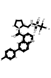 Cc1ccc(-c2ccc3nccc(C(=O)N4CCCC4CNS(=O)(=O)C(F)(F)F)c3c2)cc1